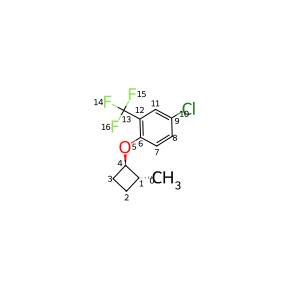 C[C@@H]1CC[C@H]1Oc1ccc(Cl)cc1C(F)(F)F